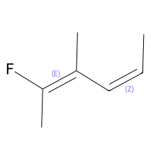 C/C=C\C(C)=C(/C)F